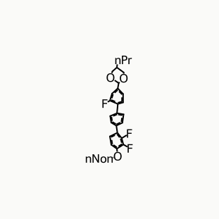 CCCCCCCCCOc1ccc(-c2ccc(-c3ccc(C4OCC(CCC)CO4)cc3F)cc2)c(F)c1F